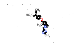 CC#C[C@@H](CC(=O)O)c1ccc(OCc2ccc3ccn(Cc4cnc(C)cn4)c3c2C)cc1